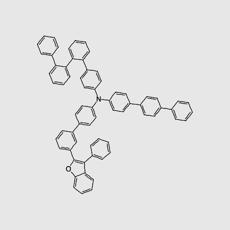 c1ccc(-c2ccc(-c3ccc(N(c4ccc(-c5cccc(-c6oc7ccccc7c6-c6ccccc6)c5)cc4)c4ccc(-c5ccccc5-c5ccccc5-c5ccccc5)cc4)cc3)cc2)cc1